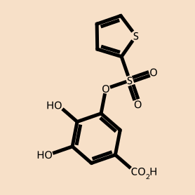 O=C(O)c1cc(O)c(O)c(OS(=O)(=O)c2cccs2)c1